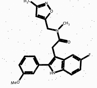 COc1cccc(-c2[nH]c3ccc(F)cc3c2CC(=O)N(C)Cc2cc(C)no2)c1